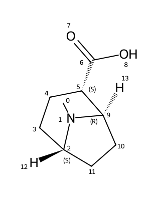 CN1[C@H]2CC[C@H](C(=O)O)[C@H]1CC2